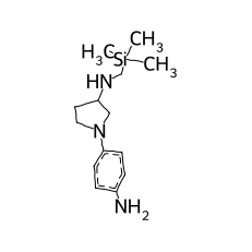 C[Si](C)(C)CNC1CCN(c2ccc(N)cc2)C1